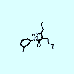 CCCCc1c(CCC)[nH]n(-c2cccc(C)c2)c1=O